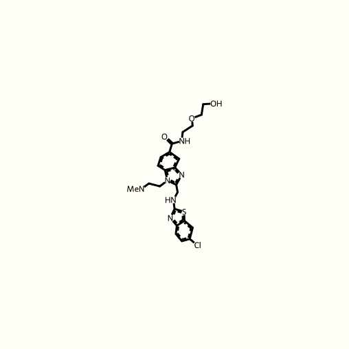 CNCCn1c(CNc2nc3ccc(Cl)cc3s2)nc2cc(C(=O)NCCOCCO)ccc21